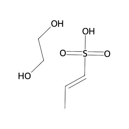 C/C=C/S(=O)(=O)O.OCCO